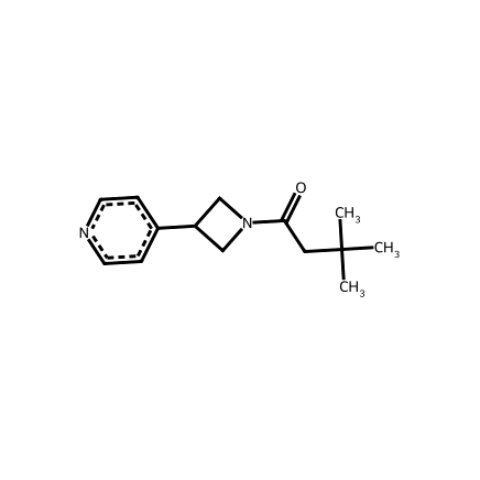 CC(C)(C)CC(=O)N1CC(c2ccncc2)C1